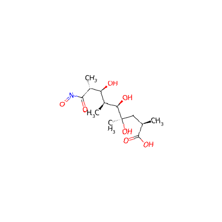 C[C@@H]([C@H](O)[C@@H](C)C(=O)N=O)[C@@H](O)[C@](C)(O)C[C@@H](C)C(=O)O